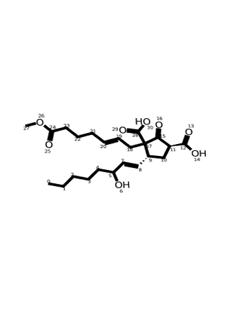 CCCCCC(O)C=C[C@H]1C[C@H](C(=O)O)C(=O)C1(CC=CCCCC(=O)OC)C(=O)O